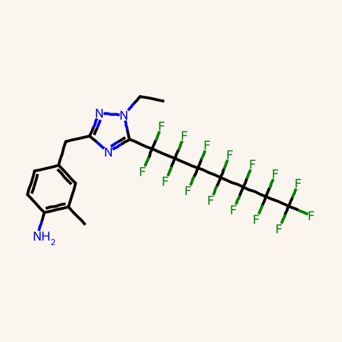 CCn1nc(Cc2ccc(N)c(C)c2)nc1C(F)(F)C(F)(F)C(F)(F)C(F)(F)C(F)(F)C(F)(F)C(F)(F)F